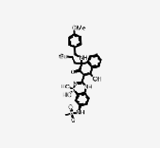 COc1ccc(CNC2(CCC(C)(C)C)C(=O)C(C3=NS(O)(O)c4cc(NS(C)(=O)=O)ccc4N3)=C(O)c3ccccc32)cc1